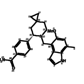 COc1cc(C)c2[nH]ccc2c1CN1CCC2(CC2)C[C@H]1c1ccc(C(N)=O)cc1